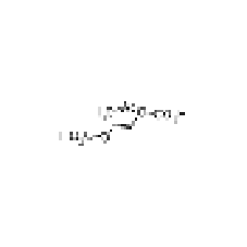 CC(C)=O.O=C(O)O/C=C/OC(=O)O